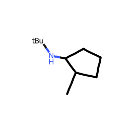 CC1CCCC1NC(C)(C)C